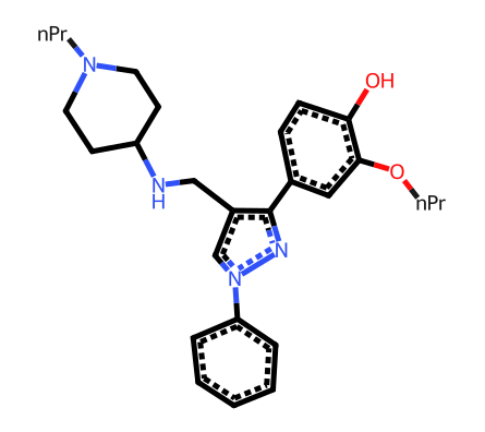 CCCOc1cc(-c2nn(-c3ccccc3)cc2CNC2CCN(CCC)CC2)ccc1O